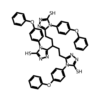 Sc1nnc(CCC(CCc2nnc(S)n2-c2ccc(Oc3ccccc3)cc2)c2nnc(S)n2-c2ccc(Oc3ccccc3)cc2)n1-c1ccc(Oc2ccccc2)cc1